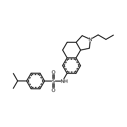 CCCN1CC2CCc3cc(NS(=O)(=O)c4ccc(C(C)C)cc4)ccc3C2C1